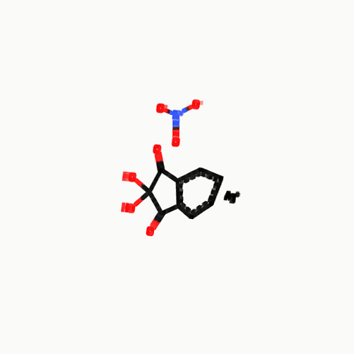 O=C1c2ccccc2C(=O)C1(O)O.O=[N+]([O-])[O-].[Ag+]